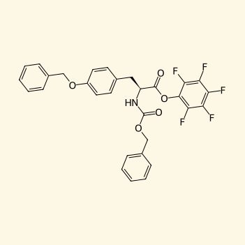 O=C(N[C@@H](Cc1ccc(OCc2ccccc2)cc1)C(=O)Oc1c(F)c(F)c(F)c(F)c1F)OCc1ccccc1